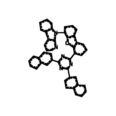 c1ccc2cc(-c3nc(-c4ccc5ccccc5c4)nc(-c4cccc5c4oc4c(-n6c7ccccc7c7cccnc76)cccc45)n3)ccc2c1